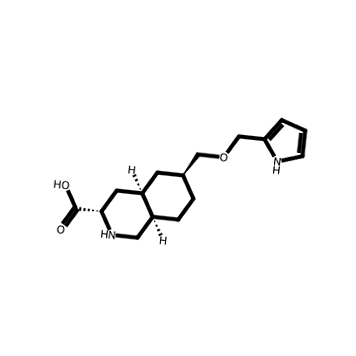 O=C(O)[C@@H]1C[C@H]2C[C@@H](COCc3ccc[nH]3)CC[C@H]2CN1